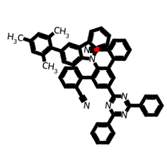 Cc1cc(C)c(-c2ccc3c(c2)c2ccccc2n3-c2c(-c3ccccc3C#N)cc(-c3nc(-c4ccccc4)nc(-c4ccccc4)n3)cc2-c2ccccc2C#N)c(C)c1